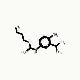 CCCCOC(C)Nc1ccc(N)c(C(C)C)c1